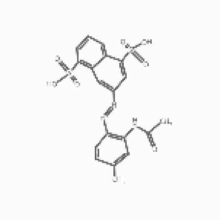 CC(=O)Nc1cc(C)ccc1N=Nc1cc(S(=O)(=O)O)c2cccc(S(=O)(=O)O)c2c1